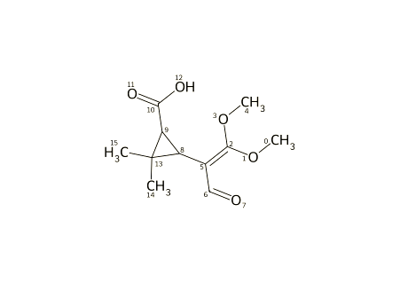 COC(OC)=C(C=O)C1C(C(=O)O)C1(C)C